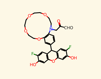 O=CC(=O)CN1CCOCCOCCOCCOc2cc(C3c4cc(F)c(O)cc4Oc4cc(O)c(F)cc43)ccc21